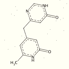 Cc1cc(Cc2cc(=O)[nH]cn2)cc(=O)[nH]1